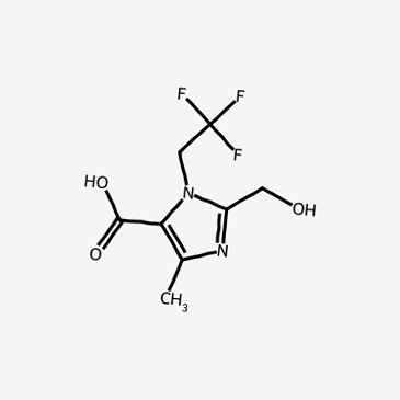 Cc1nc(CO)n(CC(F)(F)F)c1C(=O)O